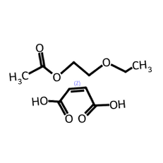 CCOCCOC(C)=O.O=C(O)/C=C\C(=O)O